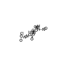 O=C(NS(=O)(=O)c1ccc(NCCCN2CCOCC2)c([N+](=O)[O-])c1)c1ccc(N2CCN(Cc3cc(Cl)ccc3-c3ccccc3)CC2)cc1Sc1ccccc1